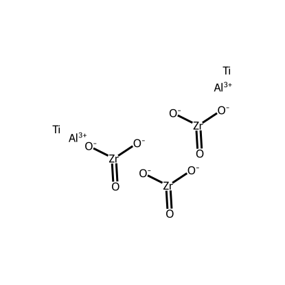 [Al+3].[Al+3].[O]=[Zr]([O-])[O-].[O]=[Zr]([O-])[O-].[O]=[Zr]([O-])[O-].[Ti].[Ti]